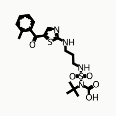 Cc1ccccc1C(=O)c1cnc(NCCCNS(=O)(=O)N(C(=O)O)C(C)(C)C)s1